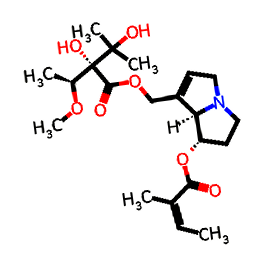 C/C=C(/C)C(=O)O[C@H]1CCN2CC=C(COC(=O)[C@@](O)([C@H](C)OC)C(C)(C)O)[C@H]12